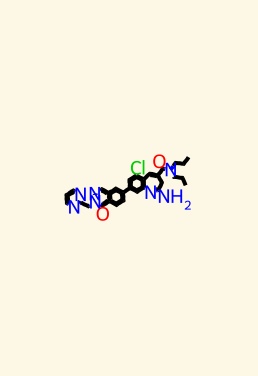 CCCN(CCC)C(=O)C1=Cc2c(Cl)cc(-c3ccc4c(=O)n(Cc5ncccn5)ncc4c3)cc2N=C(N)C1